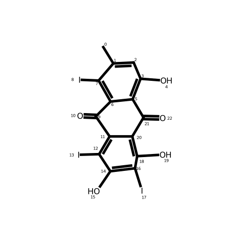 Cc1cc(O)c2c(c1I)C(=O)c1c(I)c(O)c(I)c(O)c1C2=O